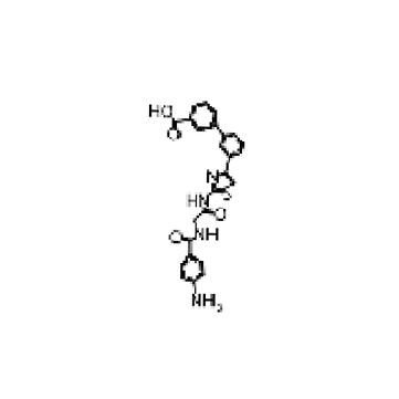 Nc1ccc(C(=O)NCC(=O)Nc2nc(-c3cccc(-c4cccc(C(=O)O)c4)c3)cs2)cc1